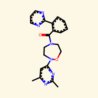 Cc1cc(N2CCN(C(=O)c3ccccc3-c3ncccn3)CCO2)nc(C)n1